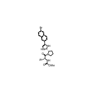 COC(=O)N[C@H](C(=O)N1CCC[C@H]1C1NC=C(c2ccc3cc(Br)ccc3c2)N1)C(C)C